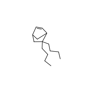 CCCCC1(CCCC)[CH]C2C=CC1C2